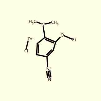 CCOc1cc([N+]#N)ccc1N(C)C.[Cl][Zn-]